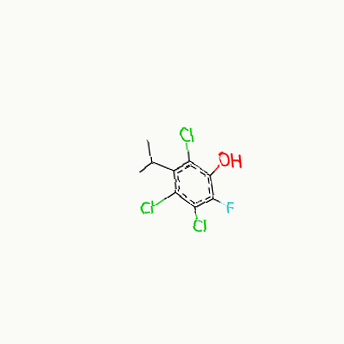 CC(C)c1c(Cl)c(O)c(F)c(Cl)c1Cl